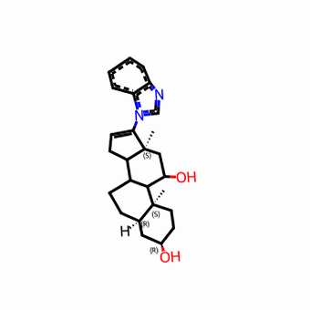 C[C@]12CC(O)C3C(CC[C@@H]4C[C@H](O)CC[C@]34C)C1CC=C2n1cnc2ccccc21